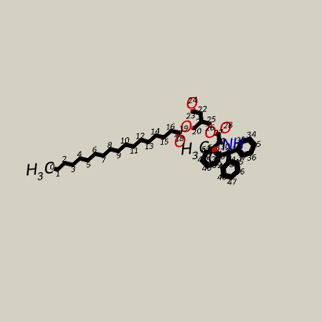 CCCCCCCCCCCCCCCCCC(=O)OCC(CC=O)COC(=O)[C@@H](NC(c1ccccc1)(c1ccccc1)c1ccccc1)C(C)C